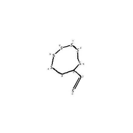 S=CC1CSSSSSS1